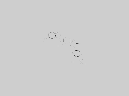 CC(C)(O)c1cnc(N2C[C@@]3(CCC[C@](C)(Cn4cnc5ccc(N)cc54)C3)OC2=O)cn1